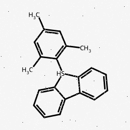 Cc1cc(C)c([SH]2c3ccccc3-c3ccccc32)c(C)c1